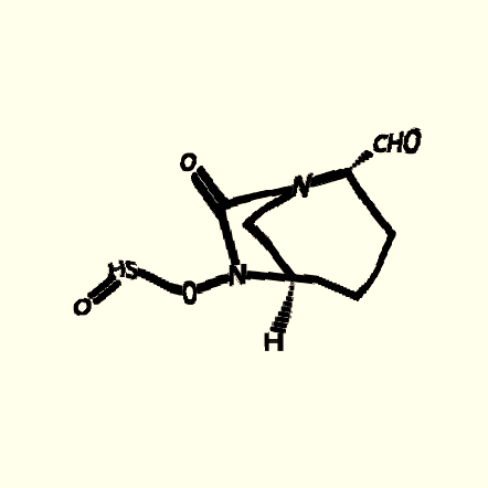 O=C[C@@H]1CC[C@@H]2CN1C(=O)N2O[SH]=O